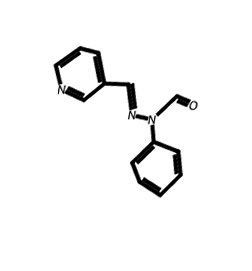 O=CN(N=Cc1cccnc1)c1ccccc1